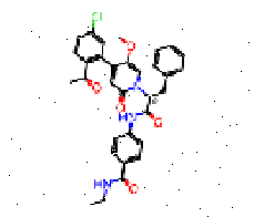 CCNC(=O)c1ccc(NC(=O)[C@H](Cc2ccccc2)n2cc(OC)c(-c3cc(Cl)ccc3C(C)=O)cc2=O)cc1